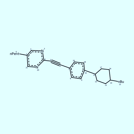 CCCCCc1cnc(C#Cc2ccc(C3CCC(CCCC)CC3)cc2)nc1